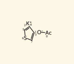 CC(=O)[O-].[K+].c1ccsc1